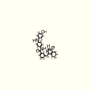 COc1ccc(Nc2ccc(NC(=O)c3cccc(Cc4n[nH]c(=O)c5c4CCCC5)c3)cc2)cc1